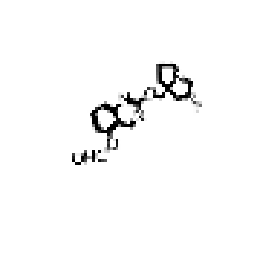 O=COc1cccc2nc(OC[C@@]34CCCN3C[C@H](F)C4)ncc12